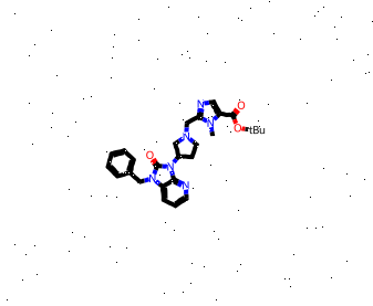 Cn1c(C(=O)OC(C)(C)C)cnc1CN1CCC(n2c(=O)n(Cc3ccccc3)c3cccnc32)C1